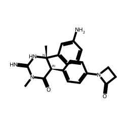 CN1C(=N)N[C@](C)(c2cccc(N)c2)[C@@H](c2ccc(N3CCC3=O)cc2)C1=O